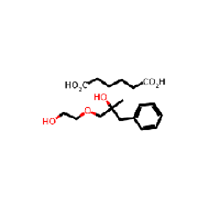 CC(O)(COCCO)Cc1ccccc1.O=C(O)CCCCC(=O)O